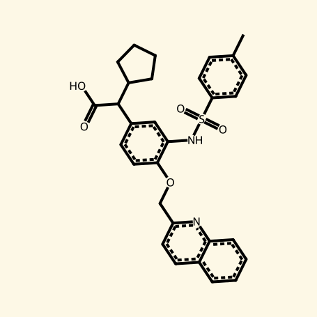 Cc1ccc(S(=O)(=O)Nc2cc(C(C(=O)O)C3CCCC3)ccc2OCc2ccc3ccccc3n2)cc1